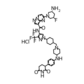 Cl.N[C@@H]1C[C@@H](F)CN(c2ccn3ncc(C(=O)Nc4cn(C5CCC(CN6CCC(Nc7ccc(C8CCC(=O)NC8=O)cc7)CC6)CC5)nc4C(F)(F)F)c3n2)C1